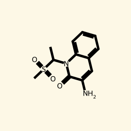 CC(n1c(=O)c(N)cc2ccccc21)S(C)(=O)=O